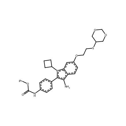 CC(C)OC(=O)Nc1ccc(-c2c(N)c3ccc(OCCSC4COCOC4)cc3n2C2CCC2)cc1